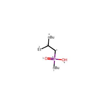 CCCCC(CC)CP(=O)(O)CCCC